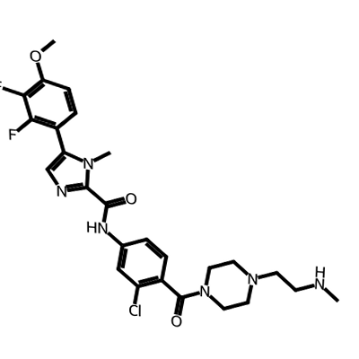 CNCCN1CCN(C(=O)c2ccc(NC(=O)c3ncc(-c4ccc(OC)c(F)c4F)n3C)cc2Cl)CC1